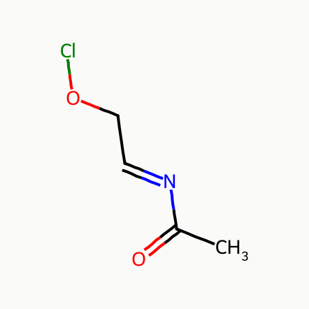 CC(=O)N=CCOCl